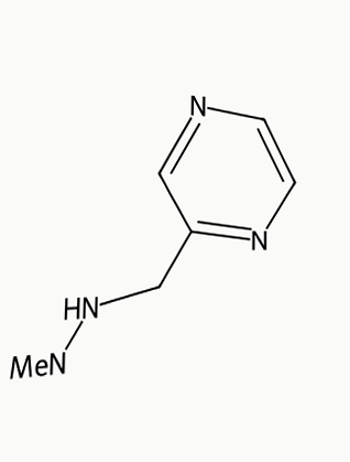 CNNCc1cnccn1